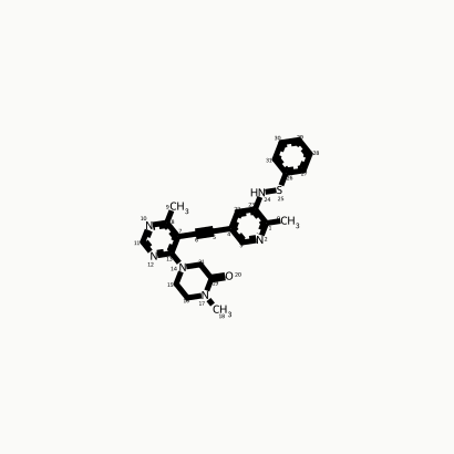 Cc1ncc(C#Cc2c(C)ncnc2N2CCN(C)C(=O)C2)cc1NSc1ccccc1